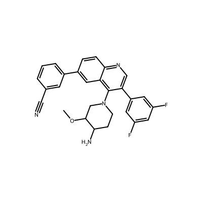 COC1CN(c2c(-c3cc(F)cc(F)c3)cnc3ccc(-c4cccc(C#N)c4)cc23)CCC1N